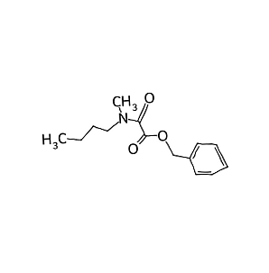 CCCCN(C)C(=O)C(=O)OCc1ccccc1